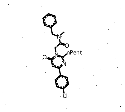 CCCCCc1nc(-c2ccc(Cl)cc2)cc(=O)n1CC(=O)N(C)Cc1ccccc1